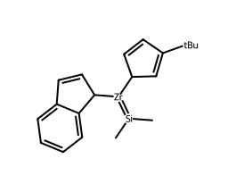 C[Si](C)=[Zr]([CH]1C=CC(C(C)(C)C)=C1)[CH]1C=Cc2ccccc21